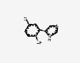 Oc1ccc(Cl)cc1-c1cnc[nH]1